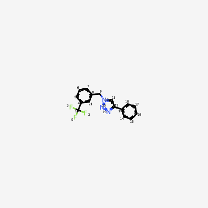 FC(F)(F)c1cccc(Cn2cc(-c3ccccc3)nn2)c1